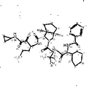 CCC[C@H](NC(=O)[C@@H]1[C@@H]2CCC[C@@H]2CN1C(=O)[C@H](NC(=O)[C@@H](NC(=O)c1cnccn1)C1CCCCC1)C(C)(C)C)C(=O)C(=O)NC1CC1